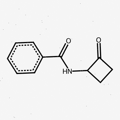 O=C(NC1CCC1=O)c1ccccc1